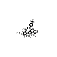 COC1=C(OC)C(=O)C(c2cc(C)c(-c3ccncc3)c(C(=O)Nc3ccc(C(F)(F)F)cc3)c2)=C(C)C1=O